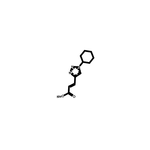 COC(=O)C=Cc1cn(C2CCCCC2)nn1